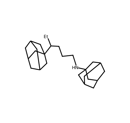 CCC(CCCNC12CC3CC(CC(C3)C1)C2)C12CC3CC(CC(C3)C1)C2